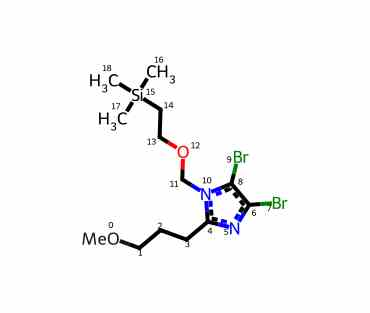 COCCCc1nc(Br)c(Br)n1COCC[Si](C)(C)C